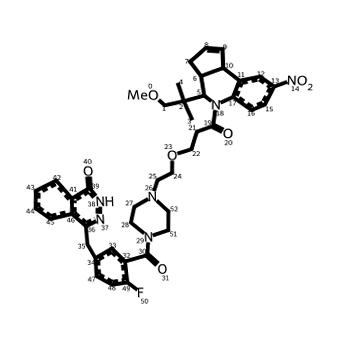 COCC(C)(C)C1C2CC=CC2c2cc([N+](=O)[O-])ccc2N1C(=O)CCOCCN1CCN(C(=O)c2cc(Cc3n[nH]c(=O)c4ccccc34)ccc2F)CC1